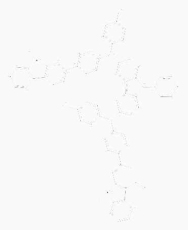 C=CC1=C(/C=C(\C)c2ccc(N(c3ccc(C#N)cc3)c3ccc4c(c3)c3cc(N(c5ccc(C#N)cc5)c5ccc(-c6ccc7c(c6)C(C)(C)c6ccccc6-7)cc5)ccc3n4-c3ccccc3)cc2)C(C)(C)c2ccccc21